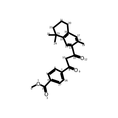 COC(=O)c1ccc(C(=O)CC(=O)c2cc3c(cc2C)CCCC3(C)C)cc1